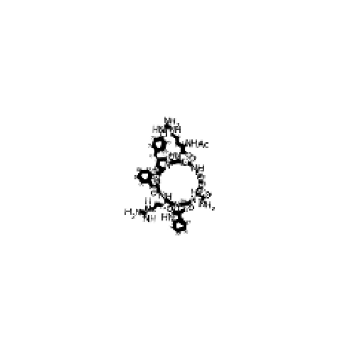 CC(=O)N[C@@H](CCCNC(=N)N)C(=O)N[C@H]1CC(=O)NCCCC[C@@H](C(N)=O)NC(=O)[C@H](Cc2c[nH]c3ccccc23)NC(=O)[C@H](CCCNC(=N)N)NC(=O)[C@@H](Cc2ccccc2)NC(=O)[C@@H]2C[C@@H](Cc3ccc(Cl)cc3)CN2C1=O